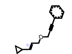 C(#Cc1ccccc1)COC/C=C/C1CC1